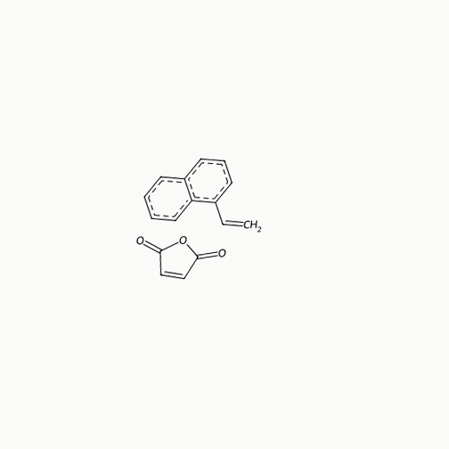 C=Cc1cccc2ccccc12.O=C1C=CC(=O)O1